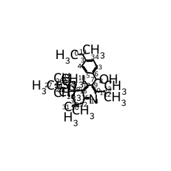 CC(C)c1ccc(C(O)c2c(C(C)C)nc3c(c2I)[C@H](O[Si](C)(C)C(C)(C)C)CC(C)(C)C3)cc1